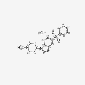 CN1CCC(n2ccc3cc(S(=O)(=O)c4ccccc4)ccc32)CC1.Cl